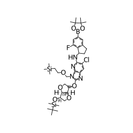 CC1(C)OB(c2cc(F)c3c(c2)CCC3Nc2nc3c(cc2Cl)nc(O[C@@H]2CO[C@H]4[C@@H]2OC[C@H]4O[Si](C)(C)C(C)(C)C)n3COCC[Si](C)(C)C)OC1(C)C